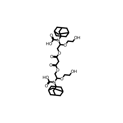 O=C(CC(=O)OCC(OCCO)N(C(=O)O)C12CC3CC(CC(C3)C1)C2)OCC(OCCO)N(C(=O)O)C12CC3CC(CC(C3)C1)C2